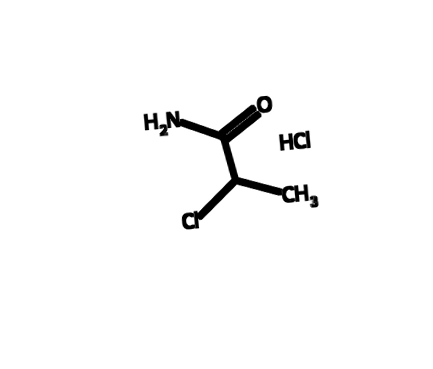 CC(Cl)C(N)=O.Cl